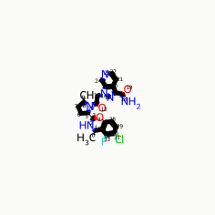 C[C@H](NC(=O)[C@@H]1CC[C@@H](C)N1C(=O)Cn1nc(C(N)=O)c2ccncc21)c1cccc(Cl)c1F